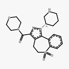 O=C(c1nn([C@H]2CCCNC2)c2c1CCS(=O)(=O)c1ccccc1-2)N1CCOCC1